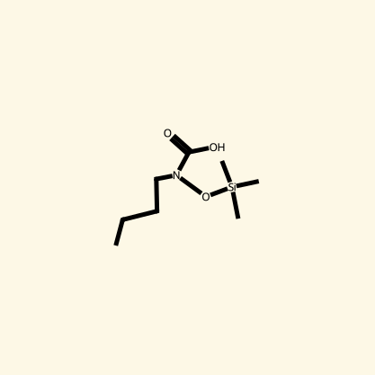 CCCCN(O[Si](C)(C)C)C(=O)O